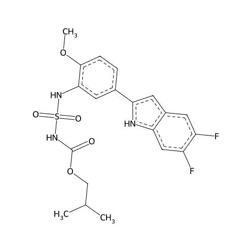 COc1ccc(-c2cc3cc(F)c(F)cc3[nH]2)cc1NS(=O)(=O)NC(=O)OCC(C)C